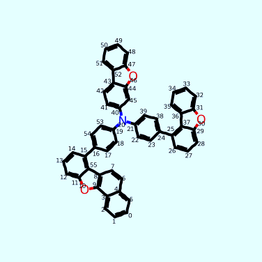 c1ccc2c(c1)ccc1c2oc2cccc(-c3ccc(N(c4ccc(-c5cccc6oc7ccccc7c56)cc4)c4ccc5c(c4)oc4ccccc45)cc3)c21